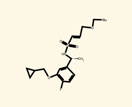 C[C@@H](NS(=O)(=O)/C=C/COCC(C)(C)C)c1ccc(F)c(OCC2CC2)c1